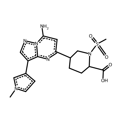 Cn1ccc(-c2cnn3c(N)cc(C4CCC(C(=O)O)N(S(C)(=O)=O)C4)nc23)c1